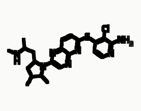 CNC(C)CC1CC(C)C(C)N1c1cnc2nc(Sc3ccnc(N)c3Cl)ccc2n1